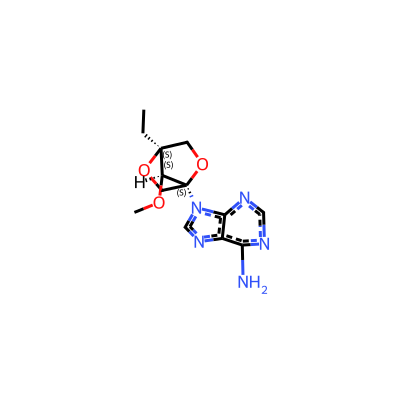 CC[C@@]12CO[C@@](n3cnc4c(N)ncnc43)(CO1)[C@H]2OC